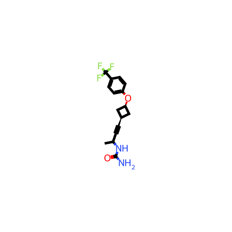 CC(C#C[C@H]1C[C@@H](Oc2ccc(C(F)(F)F)cc2)C1)NC(N)=O